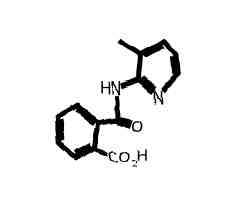 Cc1cccnc1NC(=O)c1ccccc1C(=O)O